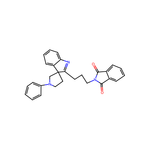 O=C1c2ccccc2C(=O)N1CCCC1=Nc2ccccc2C12CCN(c1ccccc1)C2